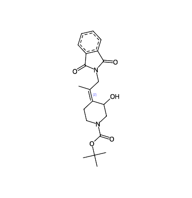 C/C(CN1C(=O)c2ccccc2C1=O)=C1\CCN(C(=O)OC(C)(C)C)CC1O